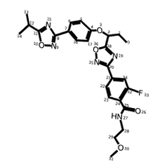 CCC(Oc1ccc(-c2noc(C(C)C)n2)cc1)c1nc(-c2ccc(C(=O)NCCOC)c(F)c2)no1